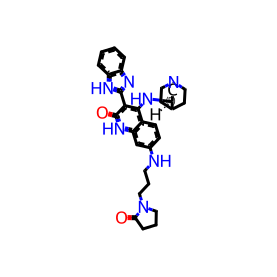 O=C1CCCN1CCCNc1ccc2c(N[C@H]3CN4CCC3CC4)c(-c3nc4ccccc4[nH]3)c(=O)[nH]c2c1